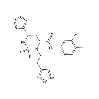 O=C(Nc1ccc(F)c(Cl)c1)[C@H]1C[C@@H](c2nccs2)NS(=O)(=O)N1CCc1c[nH]nn1